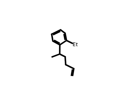 C=CCCC(C)c1ccccc1CC